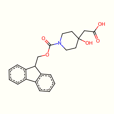 O=C(O)CC1(O)CCN(C(=O)OCC2c3ccccc3-c3ccccc32)CC1